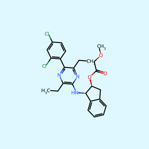 CCc1nc(-c2ccc(Cl)cc2Cl)c(CC)nc1N[C@@H]1c2ccccc2C[C@@H]1OC(=O)COC